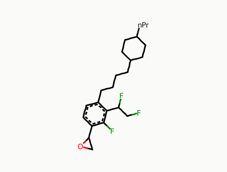 CCCC1CCC(CCCCc2ccc(C3CO3)c(F)c2C(F)CF)CC1